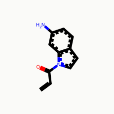 C=CC(=O)n1ccc2ccc(N)cc21